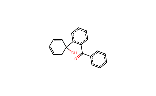 O=C(c1ccccc1)c1ccccc1C1(O)C=CC=CC1